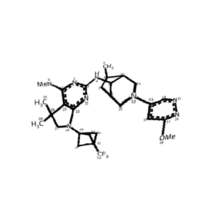 CNc1nc(NC2C3CC(C)C2CN(c2cnnc(OC)c2)C3)nc2c1C(C)(C)CN2C12CC(C(F)(F)F)(C1)C2